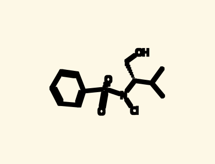 CC(C)[C@@H](CO)N(Cl)S(=O)(=O)c1ccccc1